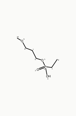 CCP(=O)(O)OCCCOC